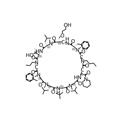 CCCCN1CC(=O)N(C)[C@@H](Cc2ccccc2)C(=O)NC[C@@H](COCCO)C(=O)N(C)[C@@H](CC(C)C)C(=O)N[C@@H]([C@@H](C)O)C(=O)N(CCC)CC(=O)N(C)[C@@H](Cc2ccccc2)C(=O)N(C)[C@@H](CC(C)C)C(=O)N[C@@H](CC(C)C)C(=O)N(C)[C@@H](CC(C)C)C(=O)N[C@H](C(=O)N2CCCCC2)CC1=O